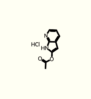 CC(=O)Oc1cc2cccnc2[nH]1.Cl